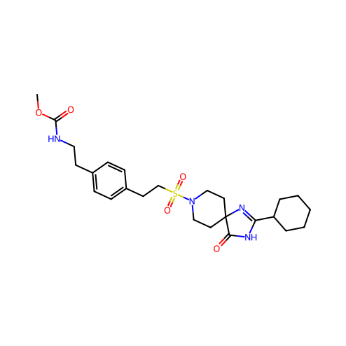 COC(=O)NCCc1ccc(CCS(=O)(=O)N2CCC3(CC2)N=C(C2CCCCC2)NC3=O)cc1